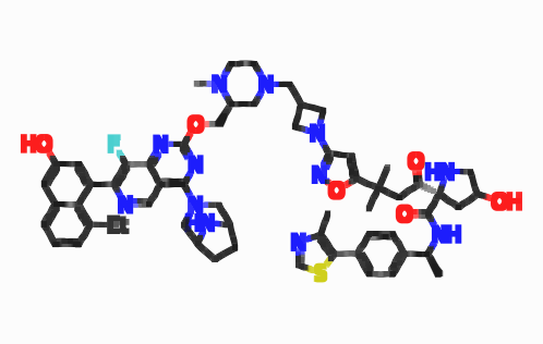 CCc1cccc2cc(O)cc(-c3ncc4c(N5CC6CCC(C5)N6)nc(OC[C@@H]5CN(CC6CN(c7cc(C(C)(C)CC(=O)[C@@]8(C(=O)N[C@@H](C)c9ccc(-c%10scnc%10C)cc9)CC(O)CN8)on7)C6)CCN5C)nc4c3F)c12